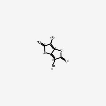 O=C1SC2=C(Br)C(=O)SC2=C1Br